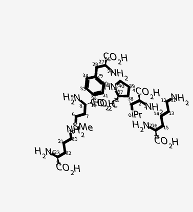 CC(C)C[C@H](N)C(=O)O.CSCC[C@H](N)C(=O)O.NCCCC[C@H](N)C(=O)O.NCCC[C@H](N)C(=O)O.N[C@@H](Cc1ccccc1)C(=O)O.O=C(O)[C@@H]1CCCN1